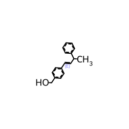 CC(/C=C/c1ccc(CO)cc1)c1ccccc1